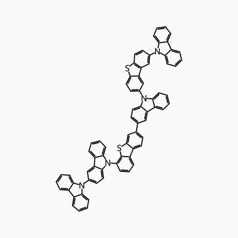 c1cc(-n2c3ccccc3c3cc(-n4c5ccccc5c5ccccc54)ccc32)c2sc3cc(-c4ccc5c(c4)c4ccccc4n5-c4ccc5sc6ccc(-n7c8ccccc8c8ccccc87)cc6c5c4)ccc3c2c1